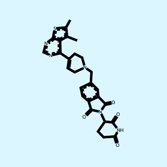 Cc1sc2ncnc(C3=CCN(Cc4ccc5c(c4)C(=O)N(C4CCC(=O)NC4=O)C5=O)CC3)c2c1C